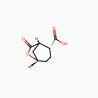 O=C1O[C@H]2CC[C@@H](C(=O)O)[C@@H]1C2